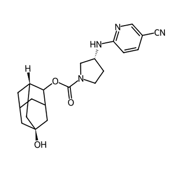 N#Cc1ccc(N[C@@H]2CCN(C(=O)OC3C4CC5C[C@H]3C[C@@](O)(C5)C4)C2)nc1